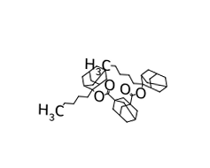 CCCCCC1(OC(=O)C23CC4CC(C2)CC(C(=O)OC2(CCCCC)C5CC6CC(C5)CC2C6)(C4)C3)C2CC3CC(C2)CC1C3